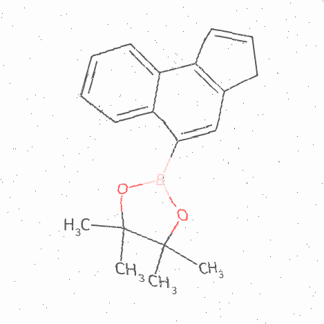 CC1(C)OB(c2cc3c(c4ccccc24)C=CC3)OC1(C)C